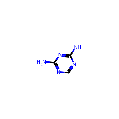 [NH]c1ncnc(N)n1